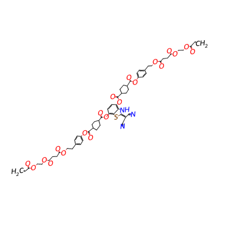 C=CC(=O)OCCOC(=O)CCC(=O)OCCc1ccc(OC(=O)C2CCC(C(=O)Oc3ccc(OC(=O)C4CCC(C(=O)Oc5ccc(CCOC(=O)CCC(=O)OCCOC(=O)C=C)cc5)CC4)c4c3NC(=C(C#N)C#N)S4)CC2)cc1